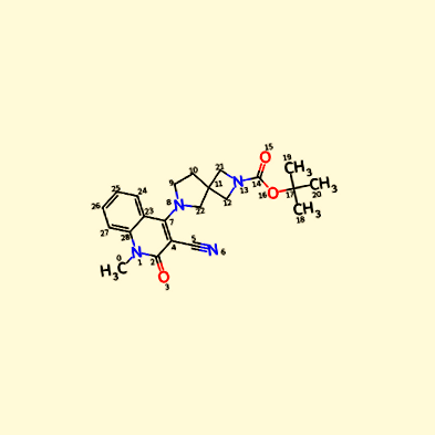 Cn1c(=O)c(C#N)c(N2CCC3(CN(C(=O)OC(C)(C)C)C3)C2)c2ccccc21